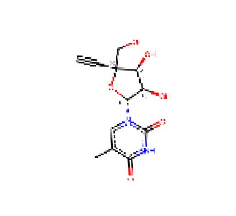 C#C[C@]1(C[O])O[C@@H](n2cc(C)c(=O)[nH]c2=O)[C@H](O)[C@@H]1O